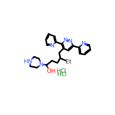 CCC(CCC(O)N1CCNCC1)Cc1cc(-c2ccccn2)nnc1-c1ccccn1.Cl.Cl